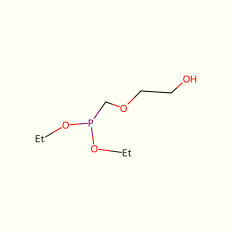 CCOP(COCCO)OCC